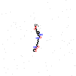 CCOC(=O)CCc1ccc2[nH]c(C(=O)NCCCCCCC(=O)NOC3CCCCO3)cc2c1